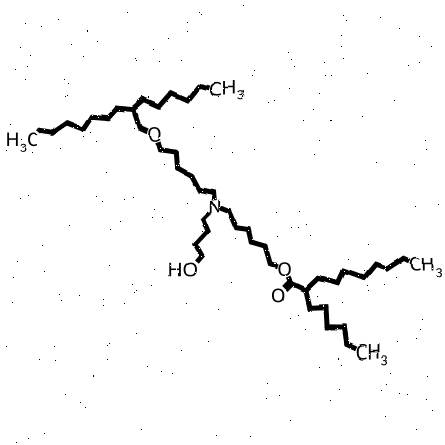 CCCCCCCCC(CCCCCC)COCCCCCCN(CCCCO)CCCCCCOC(=O)C(CCCCCC)CCCCCCCC